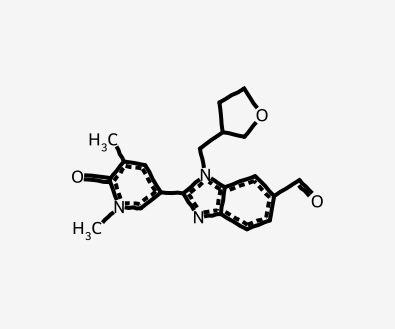 Cc1cc(-c2nc3ccc(C=O)cc3n2CC2CCOC2)cn(C)c1=O